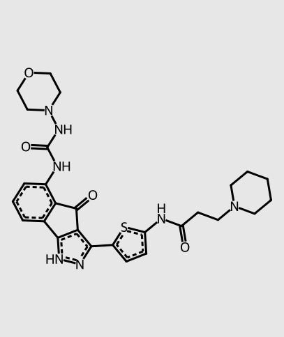 O=C(CCN1CCCCC1)Nc1ccc(-c2n[nH]c3c2C(=O)c2c(NC(=O)NN4CCOCC4)cccc2-3)s1